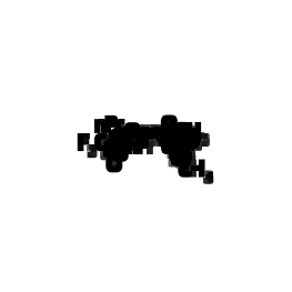 CCCc1cc2c(C(F)(F)F)cc(=O)oc2c(CCC)c1OCCCCN1COC(c2ccccc2)(c2ccc(C)cc2)N(C)C1=O